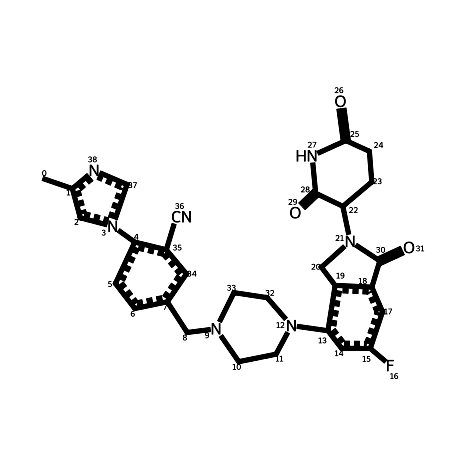 Cc1cn(-c2ccc(CN3CCN(c4cc(F)cc5c4CN(C4CCC(=O)NC4=O)C5=O)CC3)cc2C#N)cn1